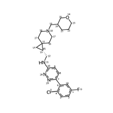 Fc1ccc(Cl)c(-c2ccc(NC[C@@H]3CC34CCN(CC3CCCOC3)CC4)nn2)c1